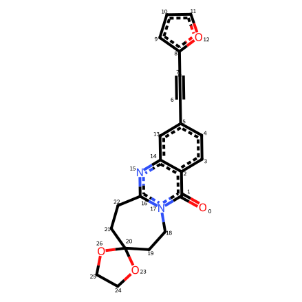 O=c1c2ccc(C#Cc3ccco3)cc2nc2n1CCC1(CC2)OCCO1